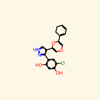 Oc1cc(O)c(-c2n[nH]cc2C2=COC=C(C3=CC=CCC3)O2)cc1Cl